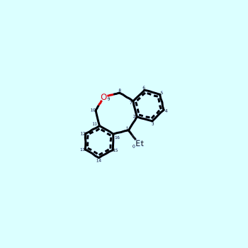 CCC1c2ccccc2COCc2ccccc21